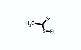 CCSC(C)[S]